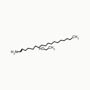 CCCCCCCCCCCCCCCCC=CN.CCO